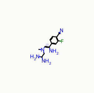 CN(/C=C(\N)c1ccc(C#N)c(F)c1)CC(N)N